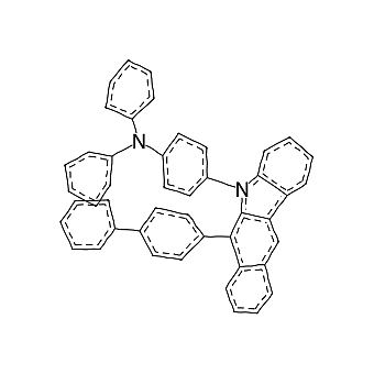 c1ccc(-c2ccc(-c3c4ccccc4cc4c5ccccc5n(-c5ccc(N(c6ccccc6)c6ccccc6)cc5)c34)cc2)cc1